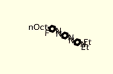 CCCCCCCCc1ccc(/N=N/c2ccc(/N=N/c3ccc(N(CC)CC)cc3)cc2)cc1F